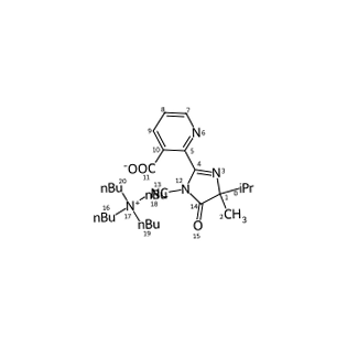 CC(C)C1(C)N=C(c2ncccc2C(=O)[O-])N(C#N)C1=O.CCCC[N+](CCCC)(CCCC)CCCC